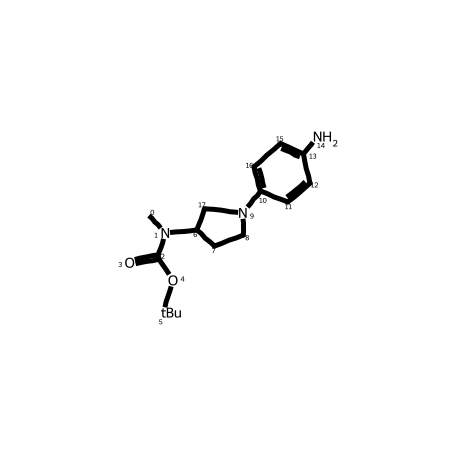 CN(C(=O)OC(C)(C)C)C1CCN(c2ccc(N)cc2)C1